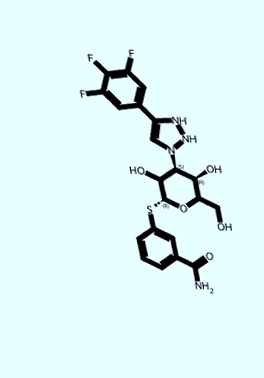 NC(=O)c1cccc(S[C@H]2OC(CO)[C@H](O)[C@H](N3C=C(c4cc(F)c(F)c(F)c4)NN3)C2O)c1